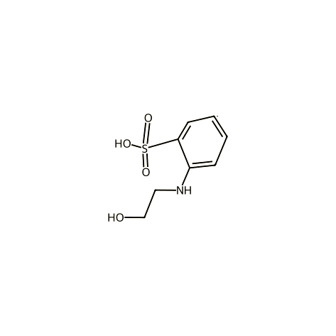 O=S(=O)(O)c1c[c]ccc1NCCO